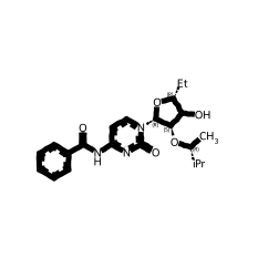 CC[C@H]1O[C@@H](n2ccc(NC(=O)c3ccccc3)nc2=O)[C@@H](O[C@H](C)C(C)C)C1O